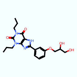 CCCn1c(=O)c2[nH]c(-c3cccc(OCC(O)CO)c3)nc2n(CCC)c1=O